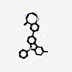 C=C1/C=C\C=C/Oc2ccc(-c3ccc4c(c3)c3c(n4-c4ccccc4)CCC(C)=C3)cc21